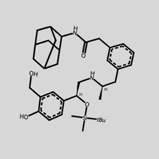 C[C@H](Cc1cccc(CC(=O)NC2C3CC4CC(C3)CC2C4)c1)NC[C@@H](O[Si](C)(C)C(C)(C)C)c1ccc(O)c(CO)c1